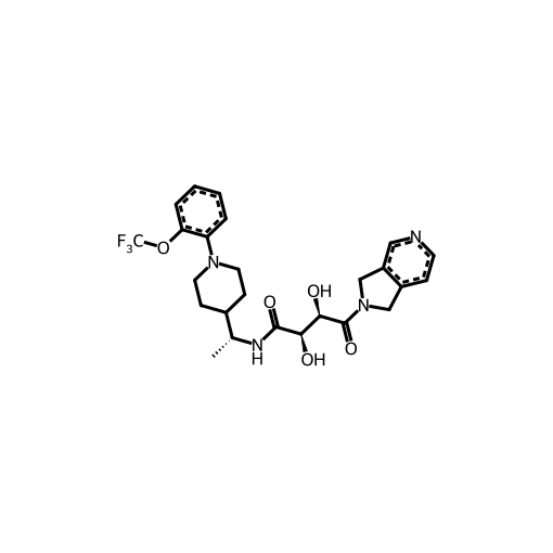 C[C@@H](NC(=O)[C@H](O)[C@@H](O)C(=O)N1Cc2ccncc2C1)C1CCN(c2ccccc2OC(F)(F)F)CC1